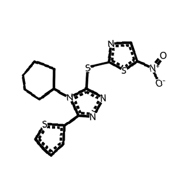 O=[N+]([O-])c1cnc(Sc2nnc(-c3cccs3)n2C2CCCCC2)s1